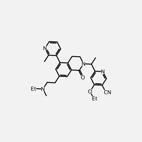 CCOc1cc(C(C)N2CCc3c(cc(CCN(C)CC)cc3-c3cccnc3C)C2=O)ncc1C#N